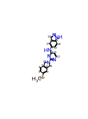 CSc1ccc2c(c1)CN(c1nccc(Nc3ccc4[nH]ncc4c3)n1)C2